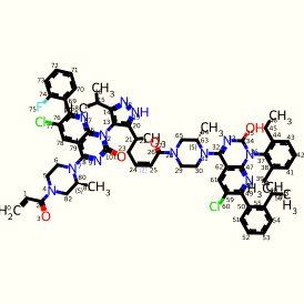 C=CC(=O)N1CCN(c2nc(=O)n(-c3c(C(C)C)n[nH]c3C(C)C/C=C\C(=O)N3CCN(C4=NC(O)N(c5c(CC)cccc5CC)c5nc(-c6ccccc6C(C)C)c(Cl)cc54)[C@@H](C)C3)c3nc(-c4ccccc4F)c(Cl)cc23)[C@@H](C)C1